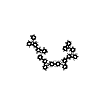 c1ccc(-n2c3ccccc3c3cc(-c4ccc5c(c4)c4ccccc4n5-c4cccc(-c5ccc6c(c5)c5ccccc5n6-c5ccc(-c6ccc(-n7c8ccccc8c8cc(-c9ccc%10c(c9)c9ccccc9n%10-c9cccc(-n%10c%11ccccc%11c%11ccccc%11%10)c9)ccc87)cc6)cc5)c4)ccc32)cc1